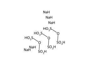 O=S(=O)(O)OS(=O)(=O)O.O=S(=O)(O)OS(=O)(=O)O.O=S(=O)(O)OS(=O)(=O)O.[NaH].[NaH].[NaH].[NaH].[NaH]